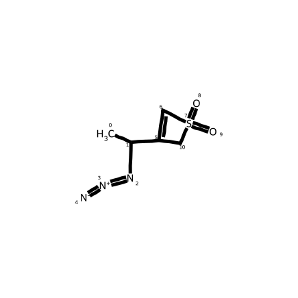 CC(N=[N+]=[N-])C1=CS(=O)(=O)C1